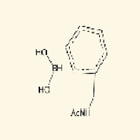 CC(=O)NCc1ccccc1.OBO